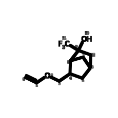 C=COCC1CC2CC1C(O)(C(F)(F)F)C2